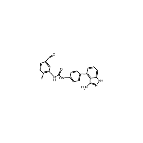 Nc1n[nH]c2cccc(-c3ccc(NC(=O)Nc4cc(C=O)ccc4F)cc3)c12